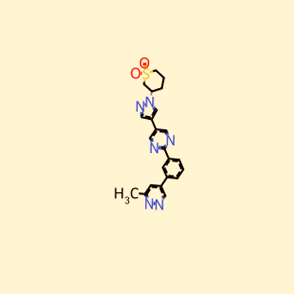 Cc1cc(-c2cccc(-c3ncc(-c4cnn([C@H]5CCCS(=O)(=O)C5)c4)cn3)c2)cnn1